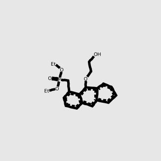 CCOP(=O)(Cc1cccc2cc3ccccc3c(OCCO)c12)OCC